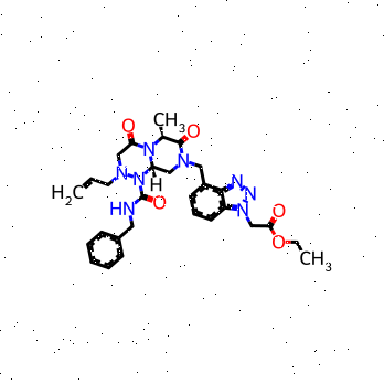 C=CCN1CC(=O)N2[C@@H](C)C(=O)N(Cc3cccc4c3nnn4CC(=O)OCC)C[C@@H]2N1C(=O)NCc1ccccc1